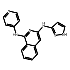 c1ccc2c(Nc3ccncc3)nc(Nc3cc[nH]n3)cc2c1